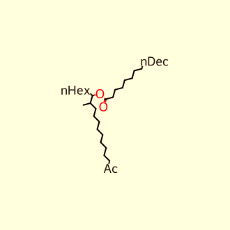 CCCCCCCCCCCCCCCCCC(=O)OC(CCCCCC)C(C)CCCCCCCCCC(C)=O